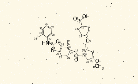 CO[C@H]1C[C@@H](COC2CCC(C(=O)O)CC2)N(C(=O)Cc2ccc3nc(Nc4ccccc4I)oc3c2F)C1